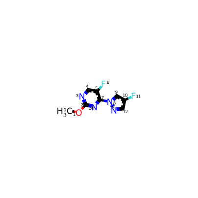 COc1ncc(F)c(-n2cc(F)cn2)n1